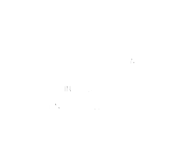 [NH]NC(=O)c1cccnc1